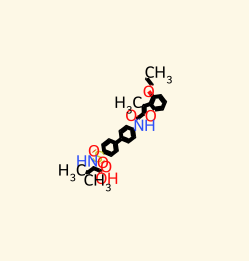 CCCOc1cccc2oc(C(=O)Nc3ccc(-c4ccc(S(=O)(=O)N[C@H](C(=O)O)C(C)C)cc4)cc3)c(C)c12